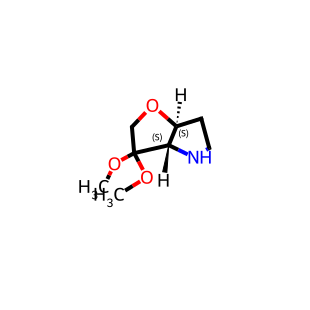 COC1(OC)CO[C@H]2CCN[C@@H]21